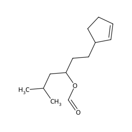 CC(C)CC(CCC1C=CCC1)OC=O